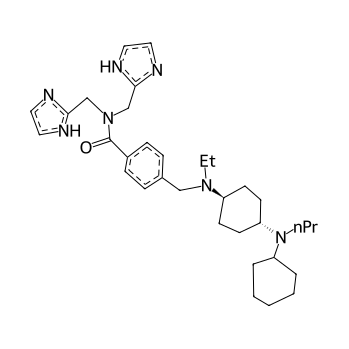 CCCN(C1CCCCC1)[C@H]1CC[C@H](N(CC)Cc2ccc(C(=O)N(Cc3ncc[nH]3)Cc3ncc[nH]3)cc2)CC1